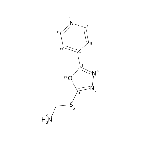 NCSc1nnc(-c2ccncc2)o1